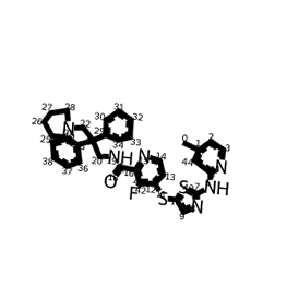 Cc1ccnc(Nc2ncc(Sc3ccnc(C(=O)NCC(CN4CCCCC4)(c4ccccc4)c4ccccc4)c3F)s2)c1